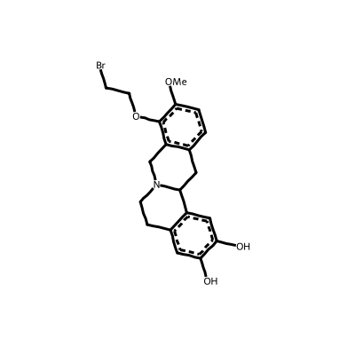 COc1ccc2c(c1OCCBr)CN1CCc3cc(O)c(O)cc3C1C2